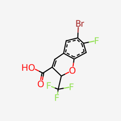 O=C(O)C1=Cc2cc(Br)c(F)cc2OC1C(F)(F)F